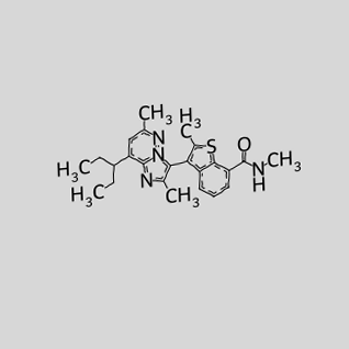 CCC(CC)c1cc(C)nn2c(-c3c(C)sc4c(C(=O)NC)cccc34)c(C)nc12